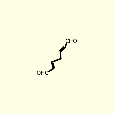 O=[C]C=CCC=C[C]=O